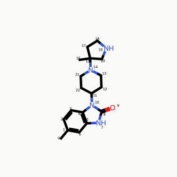 Cc1ccc2c(c1)[nH]c(=O)n2C1CCN(C2(C)CCNC2)CC1